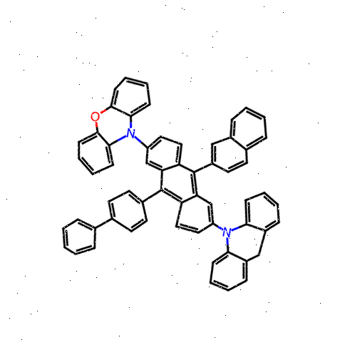 c1ccc(-c2ccc(-c3c4ccc(N5c6ccccc6Cc6ccccc65)cc4c(-c4ccc5ccccc5c4)c4ccc(N5c6ccccc6Oc6ccccc65)cc34)cc2)cc1